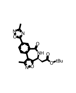 Cc1noc(-c2ccc3c(c2)C(=O)N[C@@H](CC(=O)OC(C)(C)C)c2onc(C)c2-3)n1